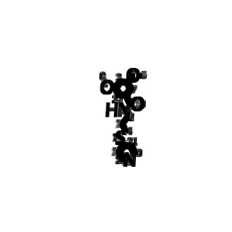 COc1cc(OC)cc(C(=O)NCCCSc2ccncc2)c1